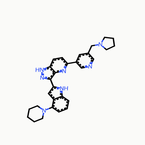 c1cc(N2CCCCC2)c2cc(-c3n[nH]c4ccc(-c5cncc(CN6CCCC6)c5)nc34)[nH]c2c1